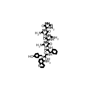 N=C(N)NC(NC(=O)C(NC(=N)N)NC(=O)C(NC(=N)N)NC(=O)C(NC(=N)N)NC(=O)C(NC(=O)C(O)N(Cc1ccc(O)cc1)c1ccc2ncccc2c1N)c1ccccc1)C(N)=O